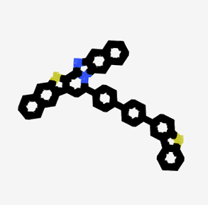 c1ccc2cc3c(cc2c1)nc1c2sc4cc5ccccc5cc4c2cc(-c2ccc(-c4ccc(-c5ccc6sc7ccccc7c6c5)cc4)cc2)n31